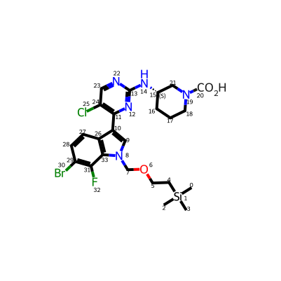 C[Si](C)(C)CCOCn1cc(-c2nc(N[C@H]3CCCN(C(=O)O)C3)ncc2Cl)c2ccc(Br)c(F)c21